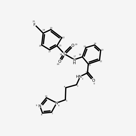 O=C(NCCCn1ccnc1)c1ccccc1NS(=O)(=O)c1ccc(F)cc1